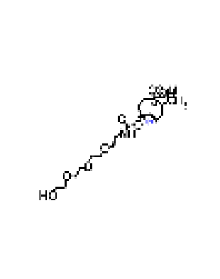 CC1C/C=C/[C@H](OC(=O)NCCOCCOCCOCCO)CC[C@@]1(O)C(=O)O